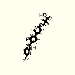 COc1ccc2nc(-c3ccc(-c4ccc(OCC(C)(C)C(=O)O)nc4)cc3F)[nH]c2n1